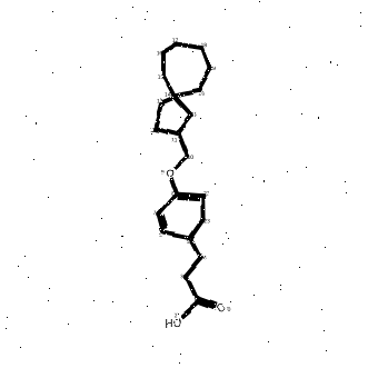 O=C(O)CCC1C=CC(OCC2CCC3(CCCCCC3)C2)=CC1